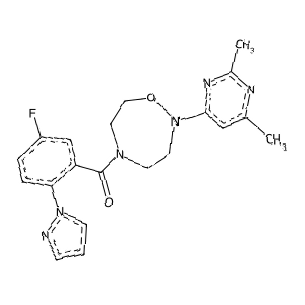 Cc1cc(N2CCN(C(=O)c3cc(F)ccc3-n3cccn3)CCO2)nc(C)n1